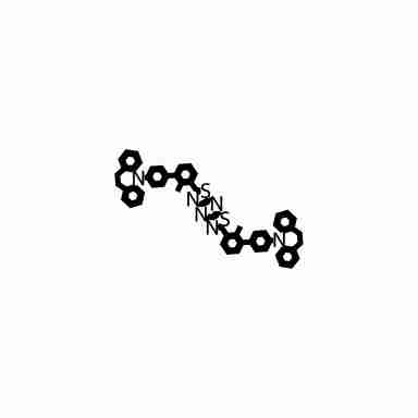 Cc1c(-c2ccc(N3c4ccccc4CCc4ccccc43)cc2)cccc1-c1nc2nc3nc(-c4cccc(-c5ccc(N6c7ccccc7CCc7ccccc76)cc5)c4C)sc3nc2s1